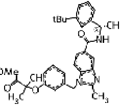 COC(=O)C(C)(C)Oc1cccc(Cn2c(C)nc3cc(C(=O)N[C@@H](C)c4cccc(C(C)(C)C)c4)ccc32)c1